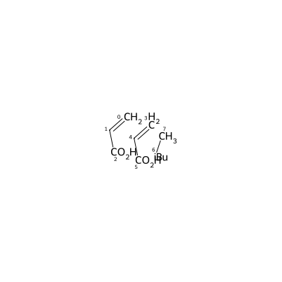 C=CC(=O)O.C=CC(=O)O.CCC(C)C